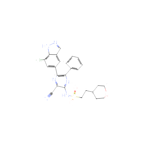 N#Cc1nc(-c2cc(Cl)c3[nH]ncc3c2)c(-c2ccccc2)nc1NS(=O)(=O)CCC1CCOCC1